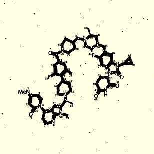 CNc1ccn(-c2ccnc3c2cc([C@H](C)N2CC=C(c4c(C)cc(C(=O)N5CCC(CN6CCN(Cc7cc8c(cc7F)n([C@@H]7CCC(=O)NC7=O)c(=O)n8C7CC7)C[C@@H]6C)CC5)cc4F)CC2)n3C)c(=O)c1